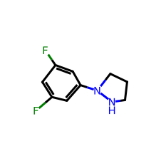 Fc1cc(F)cc(N2CCCN2)c1